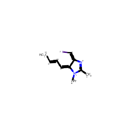 CCCn1c(C)nc(=C/I)/c1=C\C=C\C(=O)O